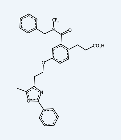 Cc1oc(-c2ccccc2)nc1CCOc1ccc(CCC(=O)O)c(C(=O)N(Cc2ccccc2)C(F)(F)F)c1